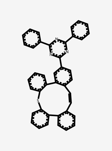 C1=C\c2ccc(-c3nc(-c4ccccc4)nc(-c4ccccc4)n3)cc2-c2ccccc2Sc2ccccc2-c2ccccc2/1